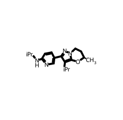 CC(C)Nc1ccc(-c2nn3c(c2C(C)C)O[C@H](C)CC3)cn1